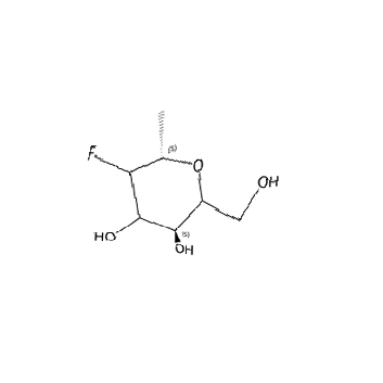 C[C@@H]1OC(CO)[C@@H](O)C(O)C1F